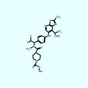 COC(c1c(Nc2ccc(C(C(F)F)N(C)C(=O)C3CCN(C(=O)OC(C)(C)C)CC3)cc2)cnc2sc(C)nc12)C(F)(F)F